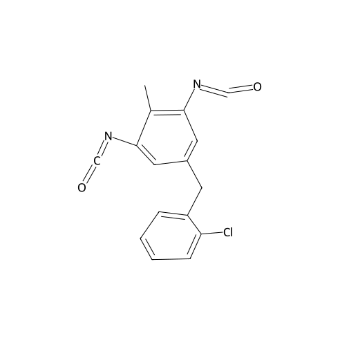 Cc1c(N=C=O)cc(Cc2ccccc2Cl)cc1N=C=O